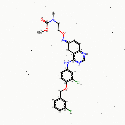 CCN(CCON=C1C=Cc2ncnc(Nc3ccc(OCc4cccc(F)c4)c(Cl)c3)c2C1)C(=O)OC(C)(C)C